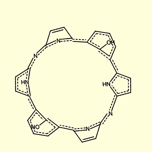 Oc1c2cccc1c1ccc(nc3nc(c4cccc(c4O)c4ccc(nc5nc2C=C5)[nH]4)C=C3)[nH]1